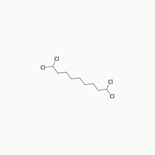 ClC(Cl)CCCCCCCC(Cl)Cl